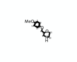 COc1ccc(OCC2CNCCO2)cc1